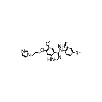 COc1cc2c(cc1OCCCn1ccnc1)NCN=C2N(N)c1ccc(Br)cc1F